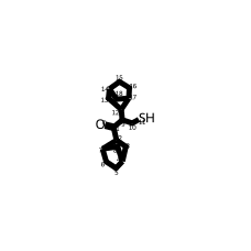 O=C(C1CC2CCC1C2)C(CS)C1CC2CCC1C2